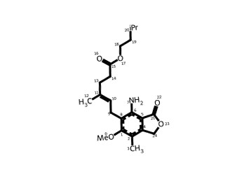 COc1c(C)c2c(c(N)c1C/C=C(\C)CCC(=O)OCCC(C)C)C(=O)OC2